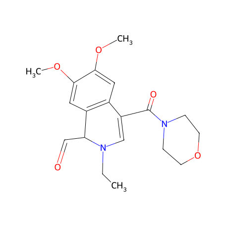 CCN1C=C(C(=O)N2CCOCC2)c2cc(OC)c(OC)cc2C1C=O